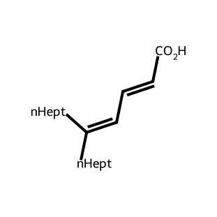 CCCCCCCC(=C/C=C/C(=O)O)CCCCCCC